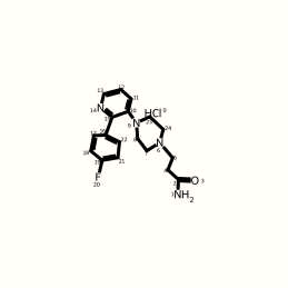 Cl.NC(=O)CCN1CCN(c2cccnc2-c2ccc(F)cc2)CC1